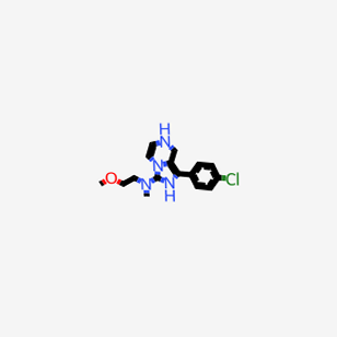 COCCN(C)C1NC(c2ccc(Cl)cc2)=C2CNC=CN21